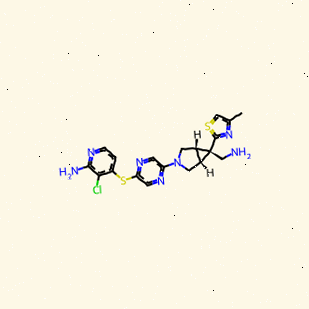 Cc1csc([C@]2(CN)[C@@H]3CN(c4cnc(Sc5ccnc(N)c5Cl)cn4)C[C@@H]32)n1